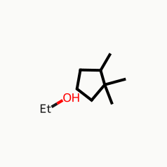 CC1CCCC1(C)C.CCO